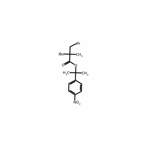 CCC(C)C(C)(CC(C)C)C(=O)OC(C)(C)c1ccc([N+](=O)[O-])cc1